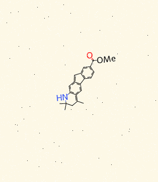 COC(=O)c1ccc2c(c1)C=c1cc3c(cc1-2)=C(C)CC(C)(C)N3